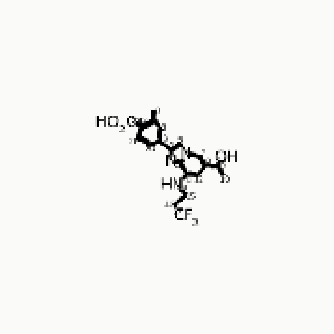 Cc1cc(-c2cn3cc(C(C)O)cc(NCCC(F)(F)F)c3n2)ccc1C(=O)O